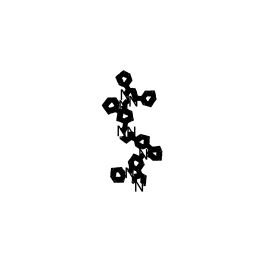 c1ccc(-c2cc(-c3ccccc3)nc(-n3c4ccccc4c4cc(-c5nccc(-c6ccc7c8ccccc8n(-c8ccc9c(c8)c8ccncc8n9-c8ccccc8)c7c6)n5)ccc43)n2)cc1